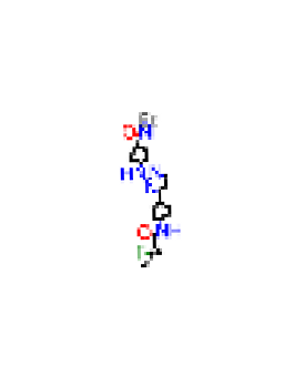 C=CC1(F)CC1C(=O)Nc1ccc(-c2ccnc(Nc3ccc(C(=O)NCC)cc3)n2)cc1